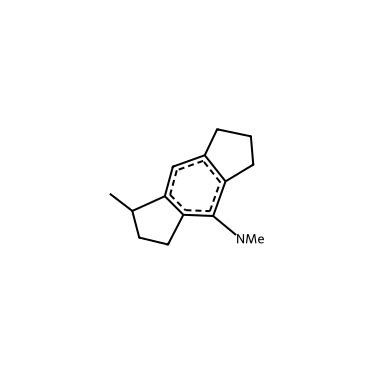 CNc1c2c(cc3c1CCC3C)CCC2